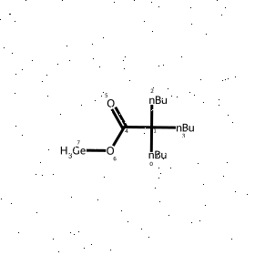 CCCCC(CCCC)(CCCC)C(=O)[O][GeH3]